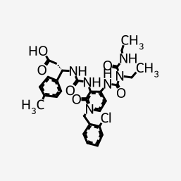 CCNC(=O)N(CC)C(=O)Nc1ccn(Cc2ccccc2Cl)c(=O)c1NC(=O)N[C@@H](CC(=O)O)c1ccc(C)cc1